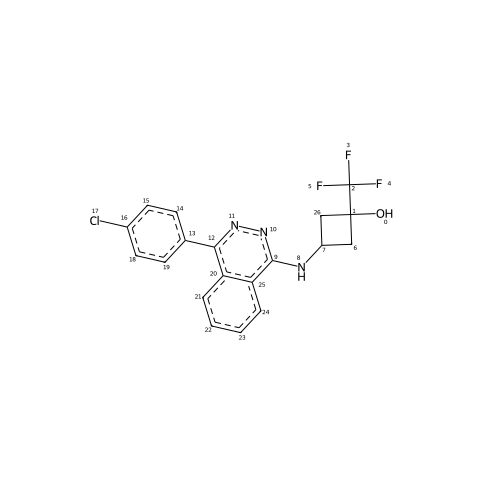 OC1(C(F)(F)F)CC(Nc2nnc(-c3ccc(Cl)cc3)c3ccccc23)C1